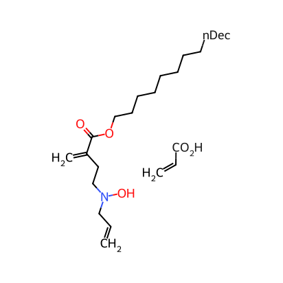 C=CC(=O)O.C=CCN(O)CCC(=C)C(=O)OCCCCCCCCCCCCCCCCCC